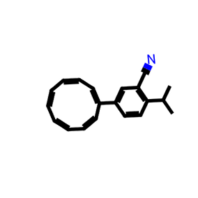 CC(C)c1ccc(-c2ccccccccc2)cc1C#N